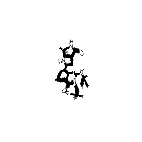 C[C@H]1NC(=O)c2cc(-c3cccc4c(=O)n(CC(F)(F)F)c(NC(C)(C)C)nc34)[nH]c21